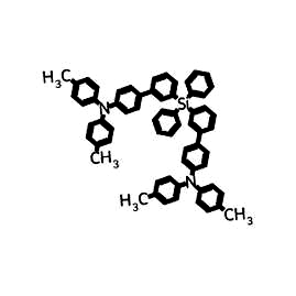 Cc1ccc(N(c2ccc(C)cc2)c2ccc(-c3cccc([Si](c4ccccc4)(c4ccccc4)c4cccc(-c5ccc(N(c6ccc(C)cc6)c6ccc(C)cc6)cc5)c4)c3)cc2)cc1